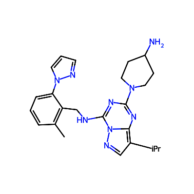 Cc1cccc(-n2cccn2)c1CNc1nc(N2CCC(N)CC2)nc2c(C(C)C)cnn12